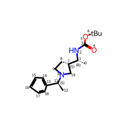 C[C@@H](NC(=O)OC(C)(C)C)[C@H]1CCN([C@@H](C)c2ccccc2)C1